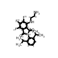 CC(C)c1cccc(C(C)C)c1N1C(=O)c2c(F)c(F)c(F)c(NCCN)c2C1=O